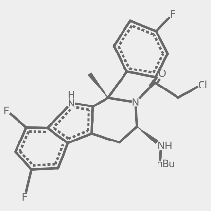 CCCCN[C@H]1Cc2c([nH]c3c(F)cc(F)cc23)[C@](C)(c2ccc(F)cc2)N1C(=O)CCl